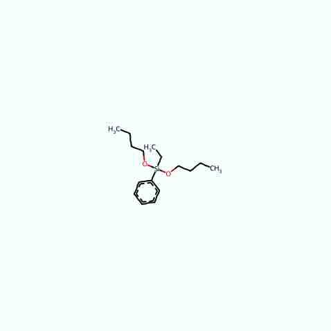 CCCCO[Si](CC)(OCCCC)c1ccccc1